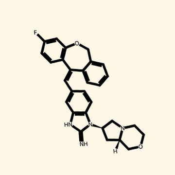 N=c1[nH]c2cc(/C=C3\c4ccccc4COc4cc(F)ccc43)ccc2n1[C@@H]1C[C@H]2COCCN2C1